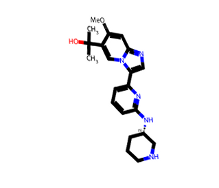 COc1cc2ncc(-c3cccc(N[C@H]4CCCNC4)n3)n2cc1C(C)(C)O